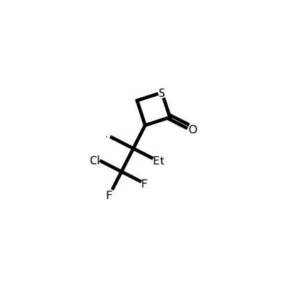 [CH2]C(CC)(C1CSC1=O)C(F)(F)Cl